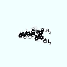 COc1ccc(C(OC[C@H]2O[C@@H](n3cc(I)c(NC(=O)c4ccccc4)nc3=O)[C@H](OC)[C@H]2O)(c2ccccc2)c2ccc(OC)cc2)cc1